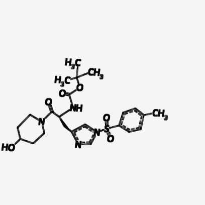 Cc1ccc(S(=O)(=O)n2cnc(C[C@H](NC(=O)OC(C)(C)C)C(=O)N3CCC(O)CC3)c2)cc1